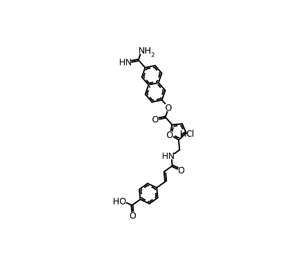 Cl.N=C(N)c1ccc2cc(OC(=O)c3ccc(CNC(=O)/C=C/c4ccc(C(=O)O)cc4)o3)ccc2c1